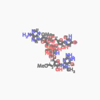 COCC[C@H]1[C@@H](O)[C@H](n2c[n+](C)c3c(=O)[nH]c(N)nc32)O[C@@H]1COP(=O)(O)NP(=O)(O)OP(=O)(O)OCC1O[C@@H](n2cnc3c(N)ncnc32)[C@H](OC)[C@@H]1OP(=O)(O)OC[C@H]1O[C@@H](n2ccc(=O)[nH]c2=O)[C@H](O)[C@@H]1O